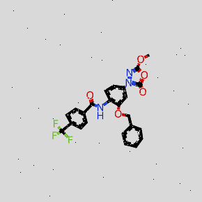 COc1nn(-c2ccc(NC(=O)c3ccc(C(F)(F)F)cc3)c(OCc3ccccc3)c2)c(=O)o1